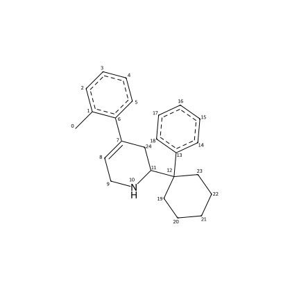 Cc1ccccc1C1=CCNC(C2(c3ccccc3)CCCCC2)C1